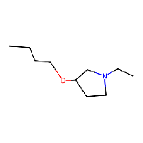 CCCCOC1CCN(CC)C1